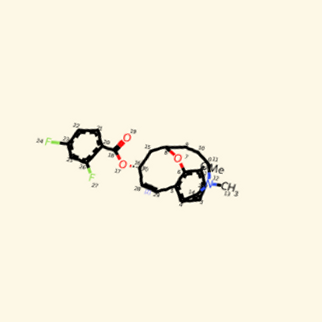 COc1ccc2c3c1OC(CCCN(C)C2)C[C@@H](OC(=O)c1ccc(F)cc1F)/C=C\3